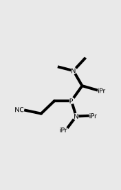 CC(C)C(N(C)C)P(CCC#N)N(C(C)C)C(C)C